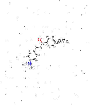 CCN(CC)c1ccc(C=CC(=O)c2ccc(OC)cc2)cc1